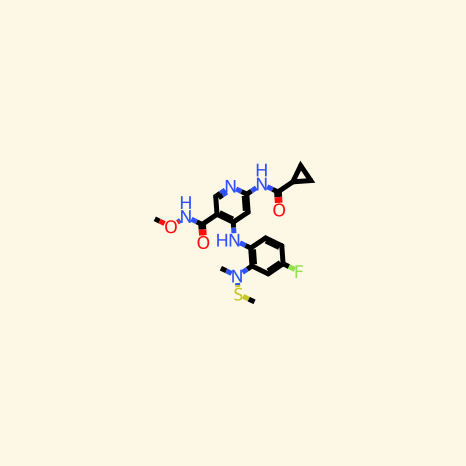 CONC(=O)c1cnc(NC(=O)C2CC2)cc1Nc1ccc(F)cc1N(C)SC